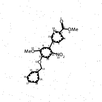 COC(=O)c1ccc(-c2cc(OC)c(OCc3ccccc3)cc2[N+](=O)[O-])cn1